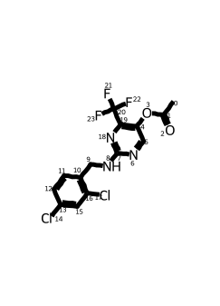 CC(=O)Oc1cnc(NCc2ccc(Cl)cc2Cl)nc1C(F)(F)F